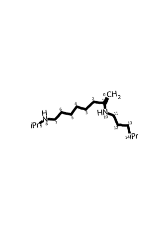 C=C(CCCCCCNC(C)C)NCCCC(C)C